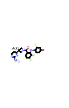 CC(=O)OC1(c2ccnc(N)n2)CN(C(=O)c2ccc(F)c(F)c2Nc2ccc(I)cc2F)C1